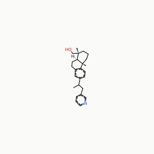 CC(Cc1cccnc1)c1ccc2c(c1)CC[C@H]1[C@](C)(CO)CCC[C@]21C